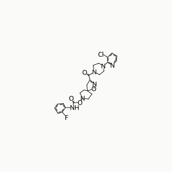 O=C(Nc1ccccc1F)ON1CCC2(CC1)CC(C(=O)N1CCN(c3ncccc3Cl)CC1)=NO2